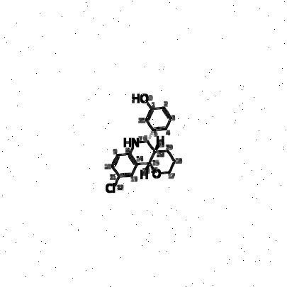 Oc1cccc([C@H]2Nc3ccc(Cl)cc3[C@H]3OCCC[C@@H]23)c1